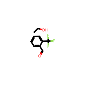 CCO.O=Cc1ccccc1C(F)(F)F